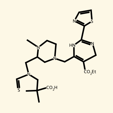 CCOC(=O)C1=C(CN2CCN(C)C(CN(C=S)CC(C)(C)C(=O)O)C2)NC(c2nccs2)=NC1